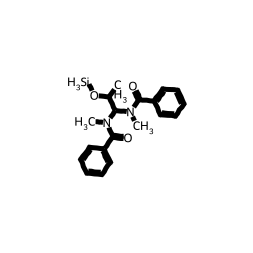 CC(O[SiH3])C(N(C)C(=O)c1ccccc1)N(C)C(=O)c1ccccc1